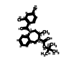 C[C@@H]1CN(C(=O)c2ccc(Br)cc2Cl)c2ccccc2CN1C(=O)OC(C)(C)C